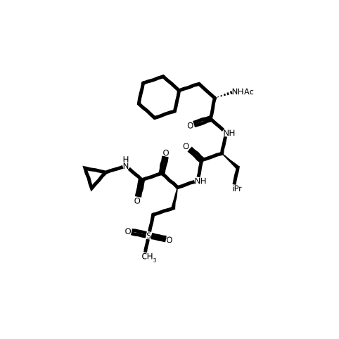 CC(=O)N[C@@H](CC1CCCCC1)C(=O)N[C@@H](CC(C)C)C(=O)N[C@@H](CCS(C)(=O)=O)C(=O)C(=O)NC1CC1